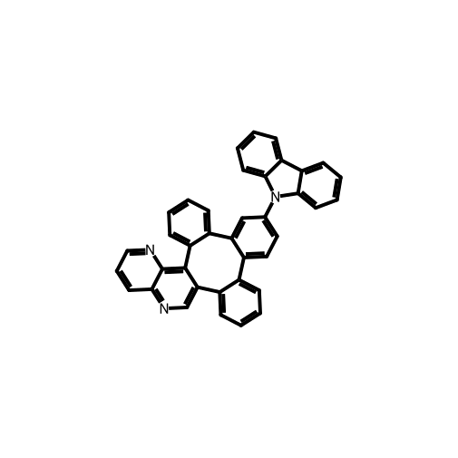 c1ccc2c(c1)-c1ccc(-n3c4ccccc4c4ccccc43)cc1-c1ccccc1-c1c-2cnc2cccnc12